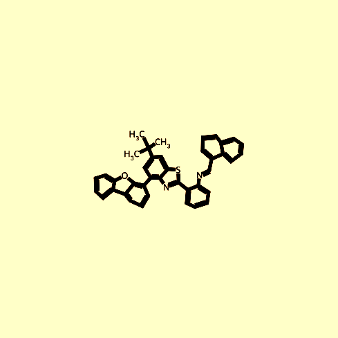 CC(C)(C)c1cc(-c2cccc3c2oc2ccccc23)c2nc(-c3ccccc3/N=C/c3cccc4ccccc34)sc2c1